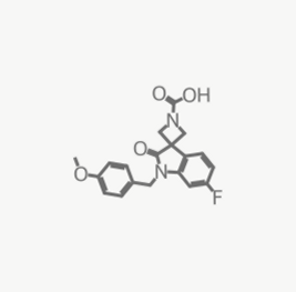 COc1ccc(CN2C(=O)C3(CN(C(=O)O)C3)c3ccc(F)cc32)cc1